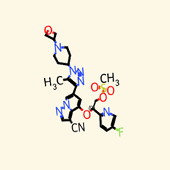 Cc1c(-c2cc(O[C@@H](COS(C)(=O)=O)c3ccc(F)cn3)c3c(C#N)cnn3c2)nnn1C1CCN(C2COC2)CC1